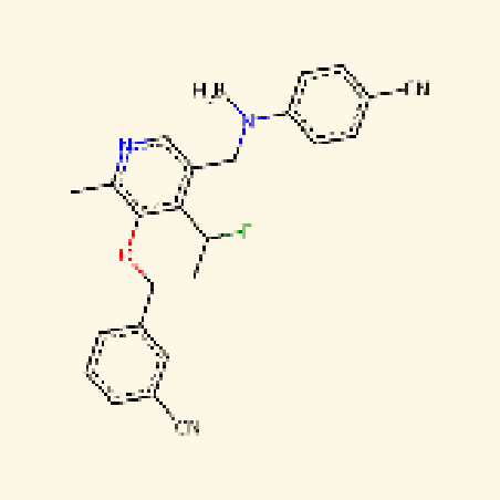 BN(Cc1cnc(C)c(OCc2cccc(C#N)c2)c1C(C)F)c1ccc(C#N)cc1